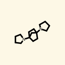 C1CCN(C23CCC(N4CCCC4)(CC2)C3)C1